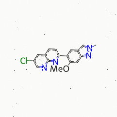 COc1cc2nn(C)cc2cc1-c1ccc2cc(Cl)cnc2n1